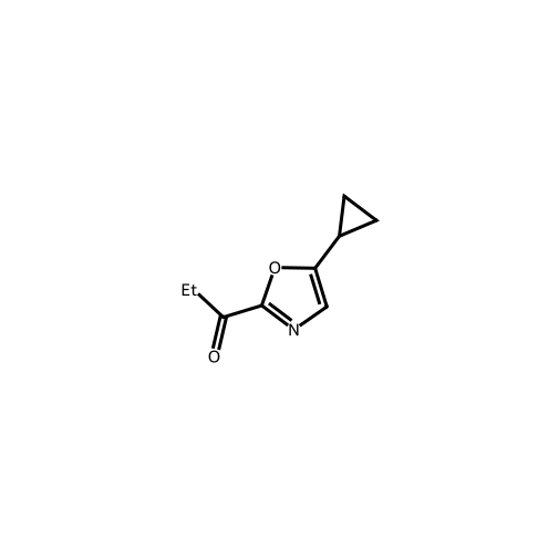 CCC(=O)c1ncc(C2CC2)o1